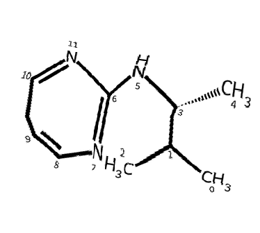 CC(C)[C@@H](C)Nc1ncccn1